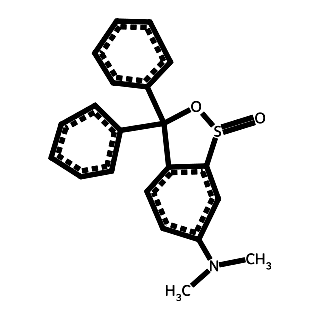 CN(C)c1ccc2c(c1)S(=O)OC2(c1ccccc1)c1ccccc1